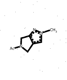 CC(=O)N1Cc2cn(C)nc2C1